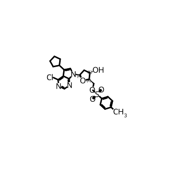 Cc1ccc(S(=O)(=O)OC[C@H]2O[C@@H](n3cc(C4CCCC4)c4c(Cl)ncnc43)C[C@@H]2O)cc1